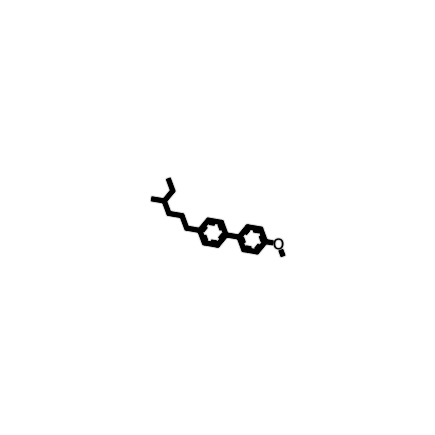 CCC(C)CCCc1ccc(-c2ccc(OC)cc2)cc1